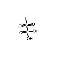 O=P(O)(O)S(=O)(=O)F